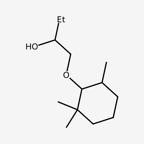 CCC(O)COC1C(C)CCCC1(C)C